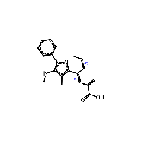 C=C(/C=C(\C=C/C)c1nn(-c2ccccc2)c(NC)c1C)C(=O)O